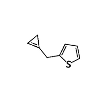 C1=C(Cc2cccs2)C1